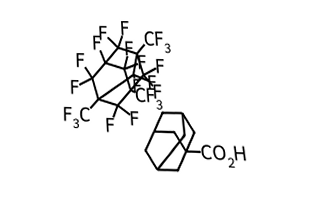 FC(F)(F)C12C(F)(F)C3(F)C(F)(F)C(C(F)(F)F)(C1(F)F)C(F)(F)C(C(F)(F)F)(C3(F)F)C2(F)F.O=C(O)C12CC3CC(CC(C3)C1)C2